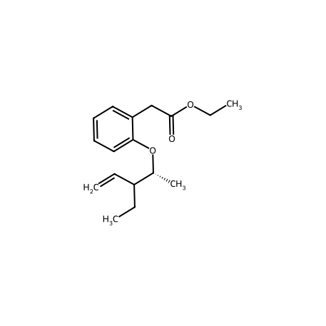 C=CC(CC)[C@@H](C)Oc1ccccc1CC(=O)OCC